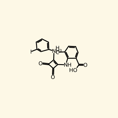 Cc1cccc(C(=O)O)c1Nc1c(Nc2cccc(I)c2)c(=O)c1=O